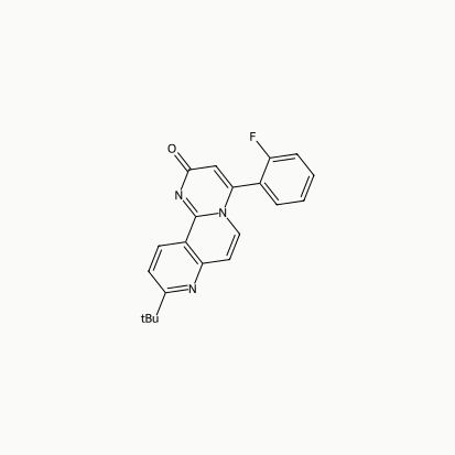 CC(C)(C)c1ccc2c(ccn3c(-c4ccccc4F)cc(=O)nc23)n1